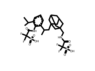 CC(C)c1cccc(C(C)CC23CC4CC(CC(CNC(=O)C(F)(F)S(=O)(=O)O)(C4)C2)C3)c1NC(=O)C(F)(F)S(=O)(=O)O